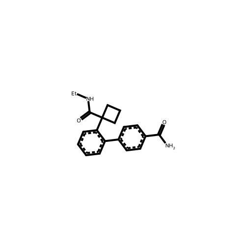 CCNC(=O)C1(c2ccccc2-c2ccc(C(N)=O)cc2)CCC1